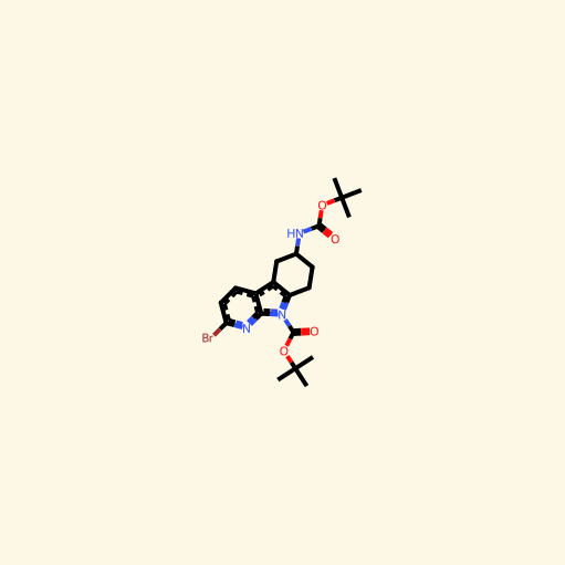 CC(C)(C)OC(=O)NC1CCc2c(c3ccc(Br)nc3n2C(=O)OC(C)(C)C)C1